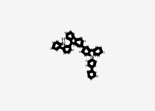 c1ccc(-c2ccc(-n3c4ccccc4c4cc(-c5ccc6c(c5)C(c5cccc7c5[nH]c5ccccc57)c5ccccc5-6)ccc43)cc2)cc1